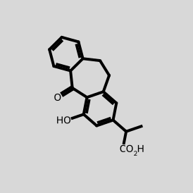 CC(C(=O)O)c1cc(O)c2c(c1)CCc1ccccc1C2=O